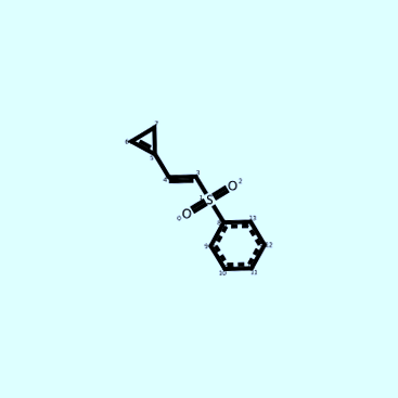 O=S(=O)(/C=C/C1=CC1)c1ccccc1